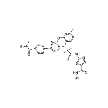 CCN(C)C(=O)c1ccc(-c2ccc3c(n2)Oc2nc(C)ccc2[C@@H]3C(C)(C)C(=O)Nc2nnc(C(=O)NC(C)C)s2)cc1